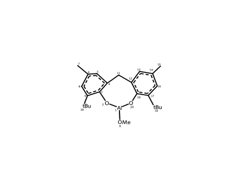 C[O][Al]1[O]c2c(cc(C)cc2C(C)(C)C)Cc2cc(C)cc(C(C)(C)C)c2[O]1